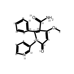 COc1cc(=O)n(-c2cccnc2)c(-c2ccccc2)c1C(N)=O